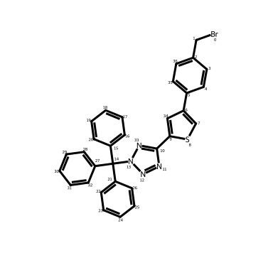 BrCc1ccc(-c2csc(-c3nnn(C(c4ccccc4)(c4ccccc4)c4ccccc4)n3)c2)cc1